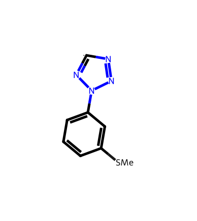 CSc1cccc(-n2n[c]nn2)c1